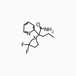 CCCC(C(N)=O)(c1ccccn1)N1CCC(F)(F)C1